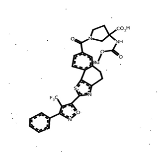 CC(C)(C)OC(=O)NC1(C(=O)O)CCN(C(=O)c2ccc3c(c2)CCc2nc(-c4onc(-c5ccccc5)c4C(F)(F)F)sc2-3)C1